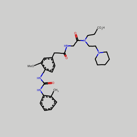 COc1cc(CC(=O)NCC(=O)N(CCC(=O)O)CCN2CCCCC2)ccc1NC(=O)Nc1ccccc1C